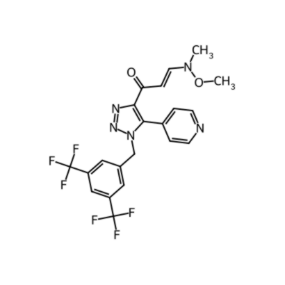 CON(C)C=CC(=O)c1nnn(Cc2cc(C(F)(F)F)cc(C(F)(F)F)c2)c1-c1ccncc1